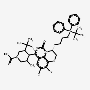 CC1CN(C(=O)O)CC(C(C)(C)C)N1c1nc(=O)n2c3c(c(Br)c(Cl)cc13)SC[C@H]2CCCO[Si](c1ccccc1)(c1ccccc1)C(C)(C)C